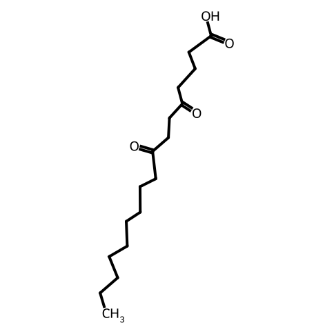 CCCCCCCCCC(=O)CCC(=O)CCCC(=O)O